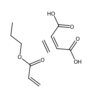 C=C.C=CC(=O)OCCC.O=C(O)/C=C\C(=O)O